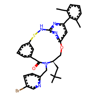 Cc1cccc(C)c1-c1cc2nc(n1)NSc1cccc(c1)C(=O)N(Cc1ccc(Br)cn1)[C@H](CC(C)(C)C)CO2